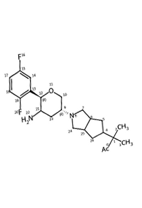 CC(=O)C(C)(C)C1CC2CN([C@H]3CO[C@H](c4cc(F)ccc4F)C(N)C3)CC2C1